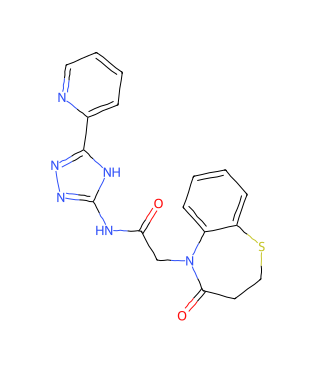 O=C(CN1C(=O)CCSc2ccccc21)Nc1nnc(-c2ccccn2)[nH]1